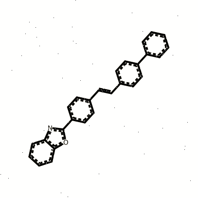 C(=C\c1ccc(-c2nc3ccccc3o2)cc1)/c1ccc(-c2ccccc2)cc1